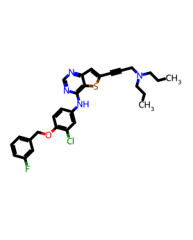 CCCN(CC#Cc1cc2ncnc(Nc3ccc(OCc4cccc(F)c4)c(Cl)c3)c2s1)CCC